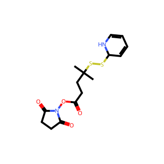 CC(C)(CCC(=O)ON1C(=O)CCC1=O)SSC1C=CC=CN1